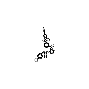 N#CC1CN(S(=O)(=O)c2cccc(C(=O)N3CCC[C@@H]3CNCc3ccc(Cl)cc3)c2)C1